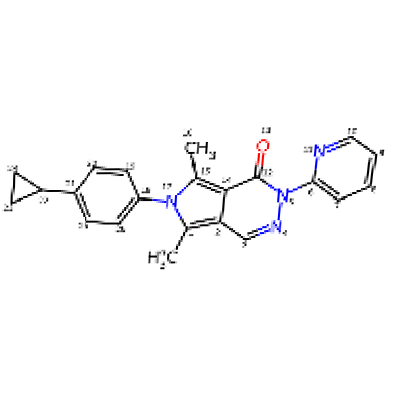 Cc1c2cnn(-c3ccccn3)c(=O)c2c(C)n1-c1ccc(C2CC2)cc1